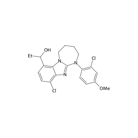 CCC(O)c1ccc(Cl)c2nc3n(c12)CCCCN3c1ccc(OC)cc1Cl